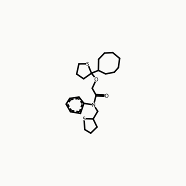 O=C(COC1(C2CCCCCCC2)CCCS1)N(CC1CCCS1)c1ccccc1